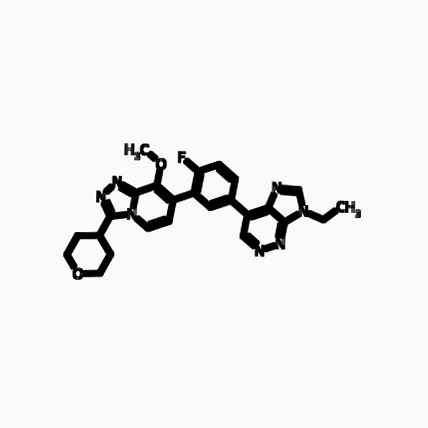 CCn1cnc2c(-c3ccc(F)c(-c4ccn5c(C6CCOCC6)nnc5c4OC)c3)cnnc21